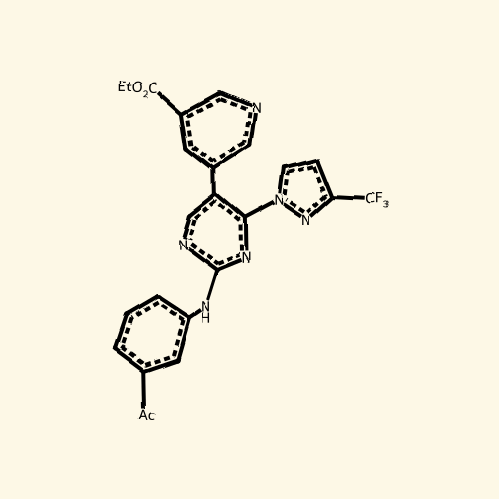 CCOC(=O)c1cncc(-c2cnc(Nc3cccc(C(C)=O)c3)nc2-n2ccc(C(F)(F)F)n2)c1